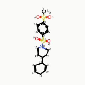 CS(=O)(=O)c1ccc(S(=O)(=O)N2CCC(C3C=CCC=C3)CC2)cc1